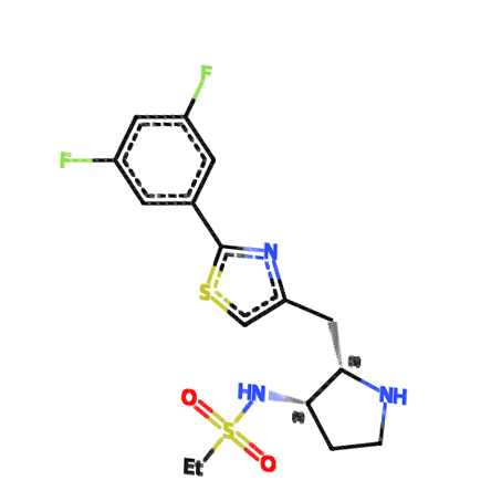 CCS(=O)(=O)N[C@H]1CCN[C@H]1Cc1csc(-c2cc(F)cc(F)c2)n1